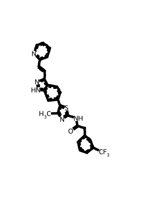 Cc1nc(NC(=O)Cc2cccc(C(F)(F)F)c2)sc1-c1ccc2c(/C=C/c3ccccn3)n[nH]c2c1